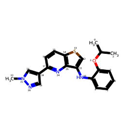 CC(C)Oc1ccccc1Nc1csc2ccc(-c3cnn(C)c3)nc12